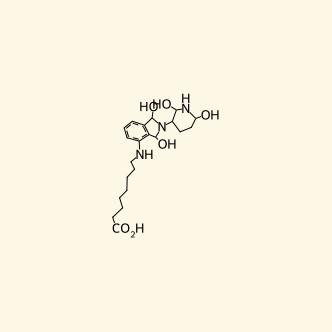 O=C(O)CCCCCCCNc1cccc2c1C(O)N(C1CCC(O)NC1O)C2O